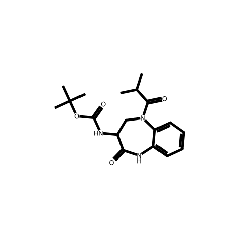 CC(C)C(=O)N1CC(NC(=O)OC(C)(C)C)C(=O)Nc2ccccc21